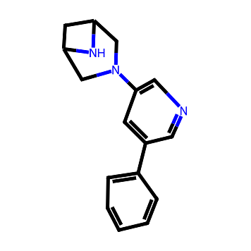 c1ccc(-c2cncc(N3CC4CC(C3)N4)c2)cc1